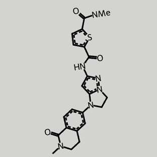 CNC(=O)c1ccc(C(=O)Nc2cc3n(n2)CCN3c2ccc3c(c2)CCN(C)C3=O)s1